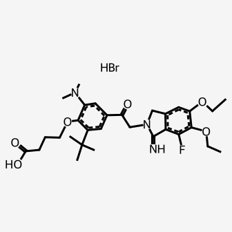 Br.CCOc1cc2c(c(F)c1OCC)C(=N)N(CC(=O)c1cc(N(C)C)c(OCCCC(=O)O)c(C(C)(C)C)c1)C2